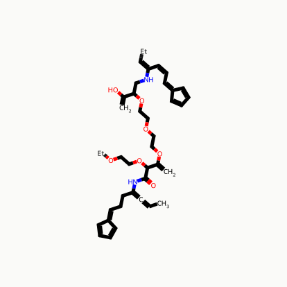 C=C(O)C(CNC(/C=C\C=C1C=CC=C1)=C/CC)OCCOCCOC(=C)C(OCCOCC)C(=O)NC(=C=CC)CCC=C1C=CC=C1